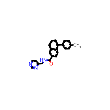 O=C(NCc1ccncn1)c1ccc2c(-c3ccc(C(F)(F)F)cc3)cccc2c1